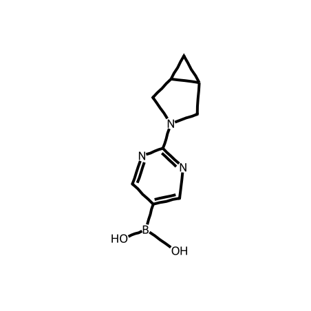 OB(O)c1cnc(N2CC3CC3C2)nc1